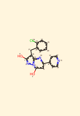 Oc1nn2c(O)cc(-c3ccncc3)nc2c1Cc1ccccc1Cl